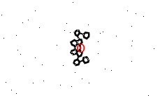 c1ccc(-c2ccccc2-c2ccc3oc4ccc(-c5ccccc5-c5ccccc5)c5cccc(c6cccc2c36)c45)cc1